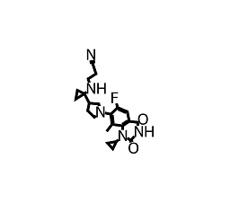 Cc1c(N2CCC(C3(NCCC#N)CC3)C2)c(F)cc2c(=O)[nH]c(=O)n(C3CC3)c12